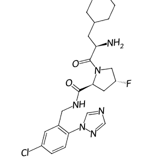 N[C@H](CC1CCCCC1)C(=O)N1C[C@H](F)C[C@H]1C(=O)NCc1cc(Cl)ccc1-n1cncn1